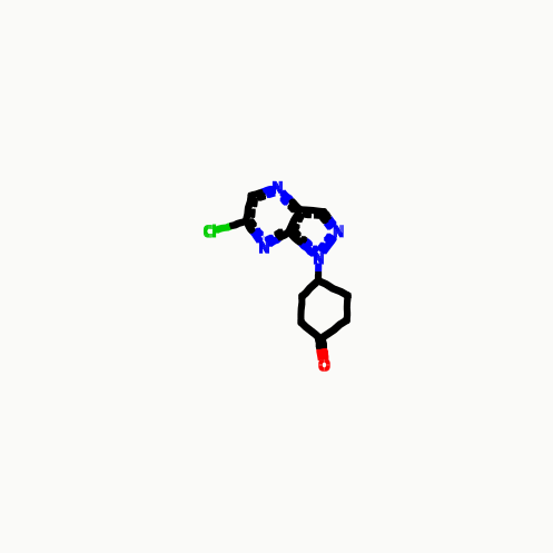 O=C1CCC(n2ncc3ncc(Cl)nc32)CC1